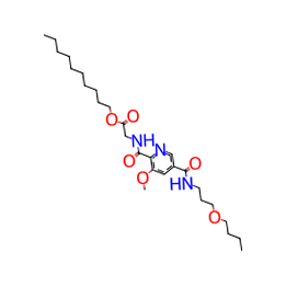 CCCCCCCCCCOC(=O)CNC(=O)c1ncc(C(=O)NCCCOCCCC)cc1OC